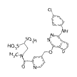 CN(CC(S(=O)(=O)O)S(=O)(=O)O)C(=O)c1cc(COc2nnc(Nc3ccc(Cl)cc3)c3ccoc23)ccn1